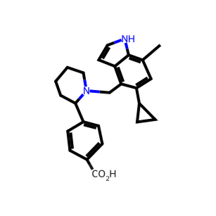 Cc1cc(C2CC2)c(CN2CCCCC2c2ccc(C(=O)O)cc2)c2cc[nH]c12